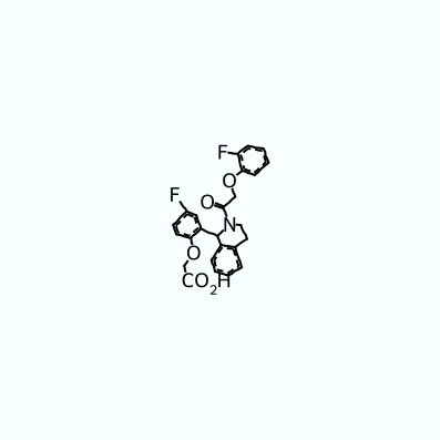 O=C(O)COc1ccc(F)cc1C1c2ccccc2CCN1C(=O)COc1ccccc1F